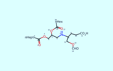 CCCCCCCC(=O)OCC(CNC(CCC(=O)O)COC=O)OC(=O)CCCCCC